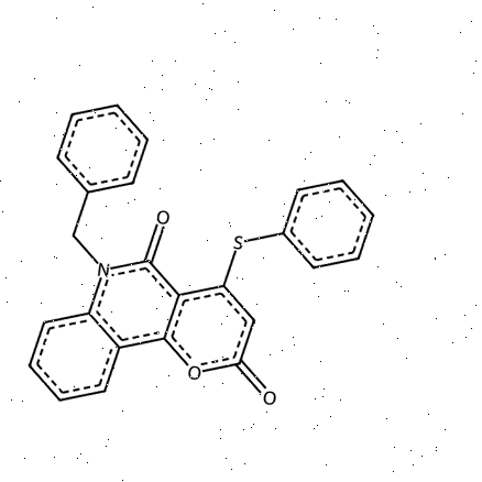 O=c1cc(Sc2ccccc2)c2c(=O)n(Cc3ccccc3)c3ccccc3c2o1